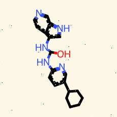 OC(Nc1ccc(C2CCCCC2)cn1)Nc1c[nH]c2cnccc12